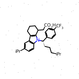 CC(C)CCC[C@@H](c1ccc(C(F)(F)F)cc1)n1c2c(c3cc(C(C)C)ccc31)CCCC2CC(=O)O